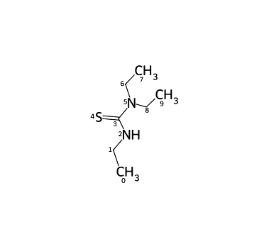 CCNC(=S)N(CC)CC